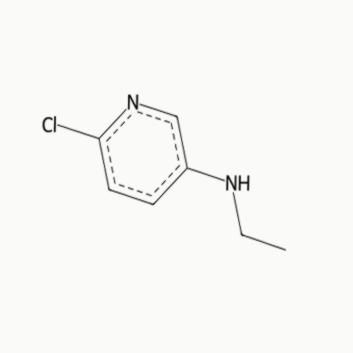 CCNc1ccc(Cl)nc1